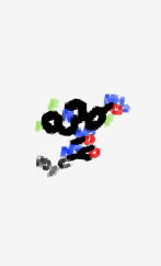 NC(=O)c1cc(-c2cccnc2C(Cc2cc(F)cc(F)c2)NC(=O)Cn2nc(C(=O)O)c3c2COC3)ccc1F